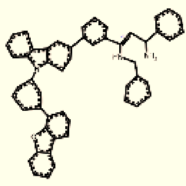 NC(/C=C(\NCc1ccccc1)c1cccc(-c2ccc3c(c2)c2ccccc2n3-c2cccc(-c3cccc4c3oc3ccccc34)c2)c1)c1ccccc1